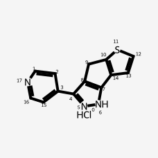 Cl.c1cc(-c2n[nH]c3c2Cc2sccc2-3)ccn1